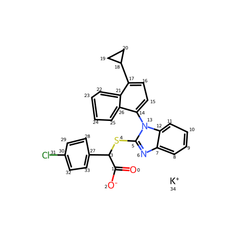 O=C([O-])C(Sc1nc2ccccc2n1-c1ccc(C2CC2)c2ccccc12)c1ccc(Cl)cc1.[K+]